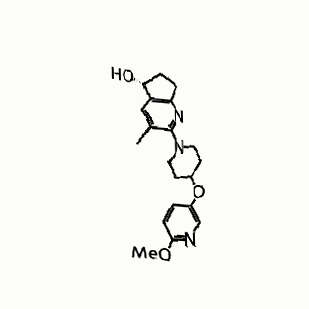 COc1ccc(OC2CCN(c3nc4c(cc3C)[C@H](O)CC4)CC2)cn1